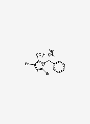 C[C@H](c1ccccc1)n1c(Br)nc(Br)c1C(=O)O.[Ag]